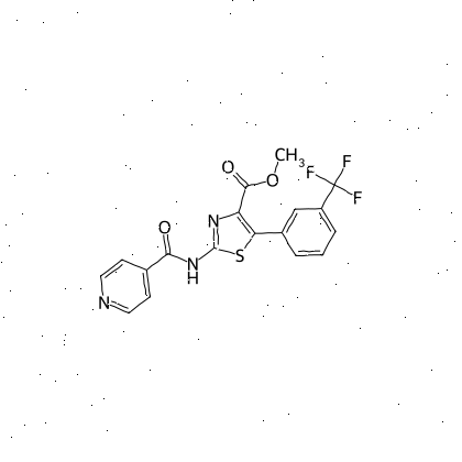 COC(=O)c1nc(NC(=O)c2ccncc2)sc1-c1cccc(C(F)(F)F)c1